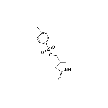 Cc1ccc(S(=O)(=O)OCC2CNC(=O)C2)cc1